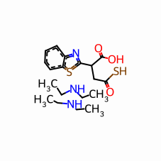 CCNCC.CCNCC.O=C(S)CC(C(=O)O)c1nc2ccccc2s1